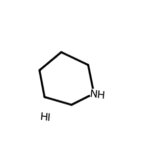 C1CCNCC1.I